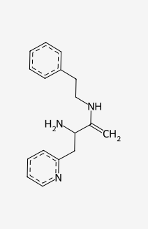 C=C(NCCc1ccccc1)C(N)Cc1ccccn1